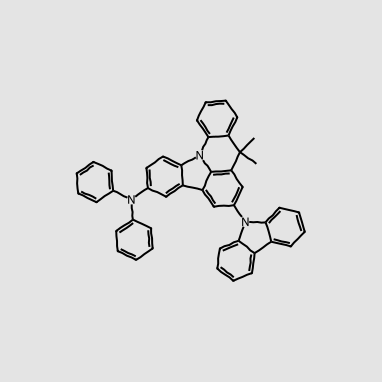 CC1(C)c2ccccc2-n2c3ccc(N(c4ccccc4)c4ccccc4)cc3c3cc(-n4c5ccccc5c5ccccc54)cc1c32